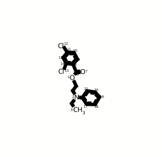 CCN(CCOC(=O)c1ccc(Cl)cc1Cl)c1ccccc1